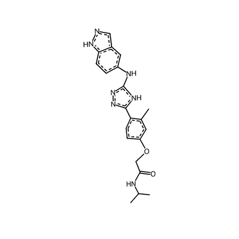 Cc1cc(OCC(=O)NC(C)C)ccc1-c1nnc(Nc2ccc3[nH]ncc3c2)[nH]1